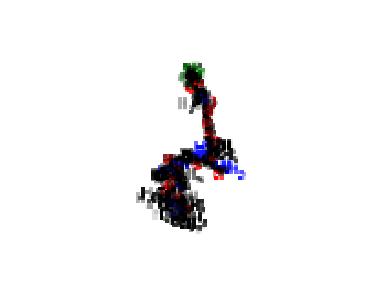 CC[C@H](C)[C@@H]([C@@H](CC(=O)N1CCC[C@H]1[C@H](OC)[C@@H](C)C(=O)N[C@@H](Cc1ccccc1)C(=O)NCc1ccc(NC(=O)C(CCCNC(N)=O)NC(=O)[C@@H](NC(=O)COCCOCCOCC(=O)N2CCC(C(=O)Oc3c(F)c(F)c(F)c(F)c3F)CC2C)C(C)C)cc1)OC)N(C)C(=O)[C@@H](NC(=O)[C@H](C(C)C)N(C)C)C(C)C